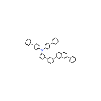 c1ccc(-c2ccc(N(c3ccc(-c4ccccc4)cc3)c3cccc(-c4cccc(-c5ccc6ccc(-c7ccccc7)cc6c5)c4)c3)cc2)cc1